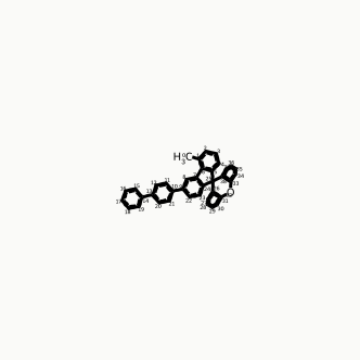 Cc1cccc2c1-c1cc(-c3ccc(-c4ccccc4)cc3)ccc1C21c2ccccc2Oc2ccccc21